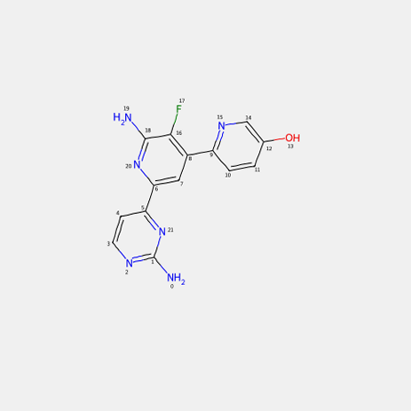 Nc1nccc(-c2cc(-c3ccc(O)cn3)c(F)c(N)n2)n1